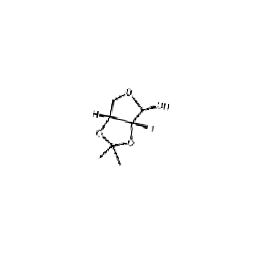 CC1(C)O[C@H]2[C@H](O)OC[C@H]2O1